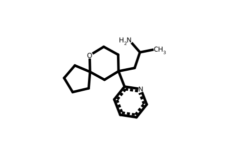 CC(N)CC1(c2ccccn2)CCOC2(CCCC2)C1